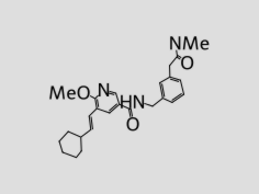 CNC(=O)Cc1cccc(CNC(=O)c2cnc(OC)c(/C=C/C3CCCCC3)c2)c1